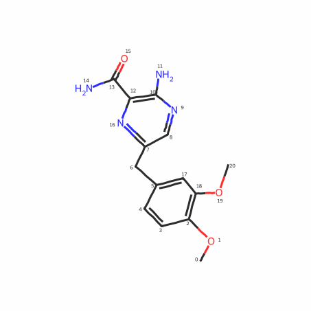 COc1ccc(Cc2cnc(N)c(C(N)=O)n2)cc1OC